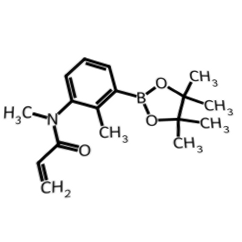 C=CC(=O)N(C)c1cccc(B2OC(C)(C)C(C)(C)O2)c1C